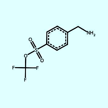 NCc1ccc(S(=O)(=O)OC(F)(F)F)cc1